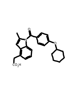 Cc1cc2c(CC(=O)O)cccc2n1C(=O)c1ccc(OC2CCCCC2)cc1